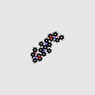 Cc1ccc2c(oc3ccccc32)c1N(c1ccc(-c2cccc3c2c2cccc4c5c(-c6ccccc6)c6c(c(-c7ccccc7)c5n3c24)c2cccc3c4c(-c5ccc(N(c7ccccc7-c7ccccc7)c7c(C)ccc8c7oc7ccccc78)cc5)cccc4n6c32)cc1)c1ccccc1-c1ccccc1